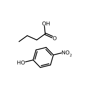 CCCC(=O)O.O=[N+]([O-])c1ccc(O)cc1